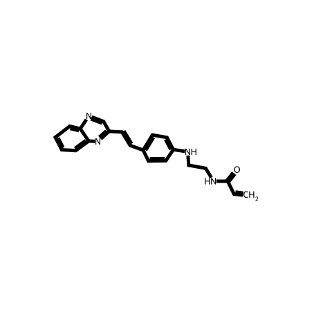 C=CC(=O)NCCNc1ccc(C=Cc2cnc3ccccc3n2)cc1